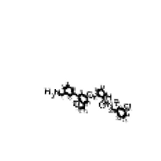 NCc1cccc(-c2cc(OC[C@@H]3CCC[C@H]3C(=O)NCc3cccc(Cl)c3F)cc3ccoc23)c1